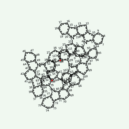 c1ccc(-n2c3ccccc3c3ccc4c5ccccc5n(-c5cc(-c6cccc(-c7cc(-n8c9ccccc9c9ccc%10c%11ccccc%11n(-c%11ccccc%11)c%10c98)cc(-n8c9ccccc9c9ccc%10c%11ccccc%11n(-c%11ccccc%11)c%10c98)c7)c6)cc(-n6c7ccccc7c7ccc8c9ccccc9n(-c9ccccc9)c8c76)c5)c4c32)cc1